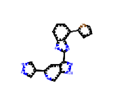 c1csc(-c2cccc3[nH]c(-c4n[nH]c5cnc(-c6cn[nH]c6)cc45)nc23)c1